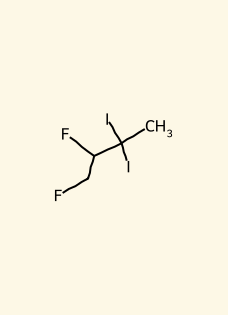 CC(I)(I)C(F)CF